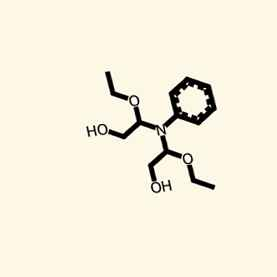 CCOC(CO)N(c1ccccc1)C(CO)OCC